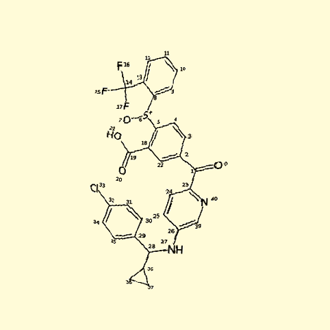 O=C(c1ccc([S+]([O-])c2ccccc2C(F)(F)F)c(C(=O)O)c1)c1ccc(NC(c2ccc(Cl)cc2)C2CC2)cn1